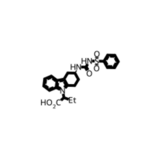 CCC(C(=O)O)n1c2c(c3ccccc31)C[C@H](NC(=O)NS(=O)(=O)c1ccccc1)CC2